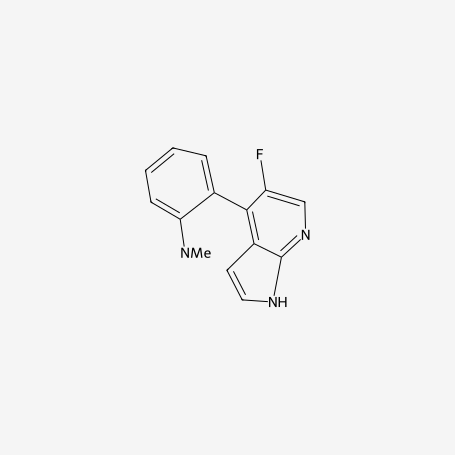 CNc1ccccc1-c1c(F)cnc2[nH]ccc12